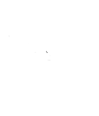 CC(C)(C)OC(=O)NC[C@H](OS(C)(=O)=O)c1cccc(C(F)(F)F)c1